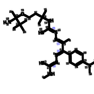 CN/C(S)=N/N=C(/C(C)=N/N=C(\S)NC(C)(C)CCOC(C)(N)C(C)(C)C)c1ccc(N(C)C)cc1